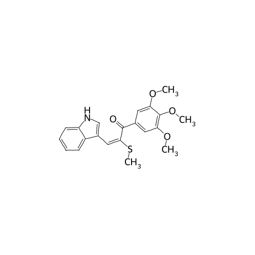 COc1cc(C(=O)/C(=C\c2c[nH]c3ccccc23)SC)cc(OC)c1OC